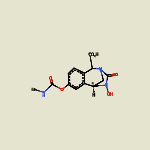 CCNC(=O)Oc1ccc2c(c1)[C@H]1CN(C(=O)N1O)C2C(=O)O